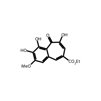 CCOC(=O)c1cc(O)c(=O)c2c(O)c(O)c(OC)cc2c1